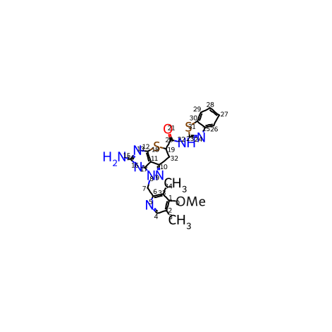 COc1c(C)cnc(Cn2nc3c4c(nc(N)nc42)SC(C(=O)Nc2nc4ccccc4s2)C3)c1C